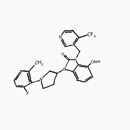 COc1cccc2c1n(Cc1cnccc1C(F)(F)F)c(=O)n2C1CCN(c2c(C)cccc2F)C1